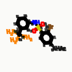 CC(=O)Nc1ccc(S(=O)(=O)Nc2cccc(C(P)(P)P)c2)c(Br)c1